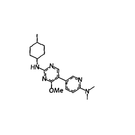 COc1nc(NC2CCC(C)CC2)ncc1-c1ccc(N(C)C)nc1